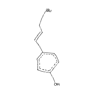 CCC(C)CC=Cc1ccc(O)cc1